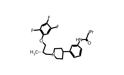 CC(C)C(=O)Nc1cccc(C2CCN(C[C@H](C)COc3cc(F)c(F)cc3F)CC2)c1